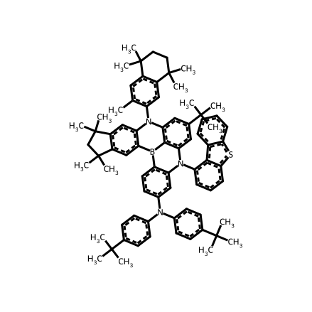 Cc1cc2c(cc1N1c3cc4c(cc3B3c5ccc(N(c6ccc(C(C)(C)C)cc6)c6ccc(C(C)(C)C)cc6)cc5N(c5cccc6sc7ccccc7c56)c5cc(C(C)(C)C)cc1c53)C(C)(C)CC4(C)C)C(C)(C)CCC2(C)C